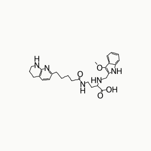 COc1c(CNC(CCNC(=O)CCCCc2ccc3c(n2)NCCC3)C(=O)O)[nH]c2ccccc12